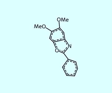 COc1cc2nc(-c3ccccc3)oc2cc1OC